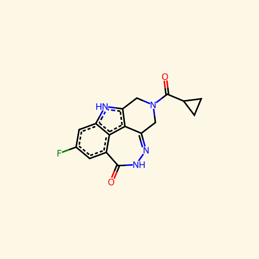 O=C1NN=C2CN(C(=O)C3CC3)Cc3[nH]c4cc(F)cc1c4c32